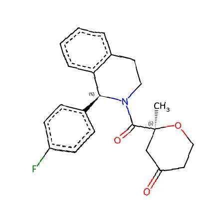 C[C@@]1(C(=O)N2CCc3ccccc3[C@@H]2c2ccc(F)cc2)CC(=O)CCO1